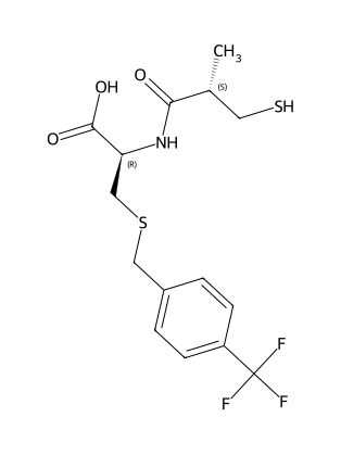 C[C@H](CS)C(=O)N[C@@H](CSCc1ccc(C(F)(F)F)cc1)C(=O)O